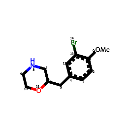 COc1ccc(CC2CNCCO2)cc1Br